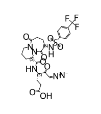 [N-]=[N+]=CC(=O)[C@H](CCC(=O)O)NC(=O)[C@@H]1CCCN2C(=O)CC[C@H](NS(=O)(=O)c3ccc(C(F)(F)F)cc3)C(=O)N12